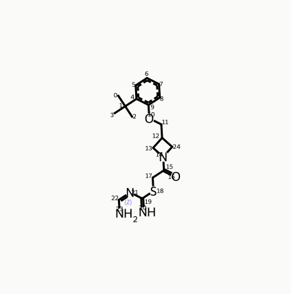 CC(C)(C)c1ccccc1OCC1CN(C(=O)CSC(=N)/N=C\N)C1